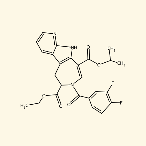 CCOC(=O)C1Cc2c([nH]c3ncccc23)C(C(=O)OC(C)C)=CN1C(=O)c1ccc(F)c(F)c1